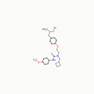 CCOC(Cc1ccc(OCCN(CC2CCC2)C(=O)Nc2ccc(OC(F)(F)F)cc2)cc1)C(=O)O